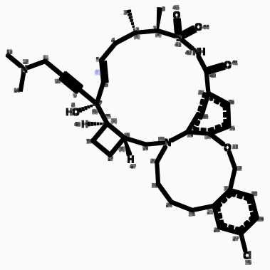 C[C@@H]1[C@@H](C)C/C=C/[C@](O)(C#CCN(C)C)[C@@H]2CC[C@H]2CN2CCCCc3cc(Cl)ccc3COc3ccc(cc32)C(=O)NS1(=O)=O